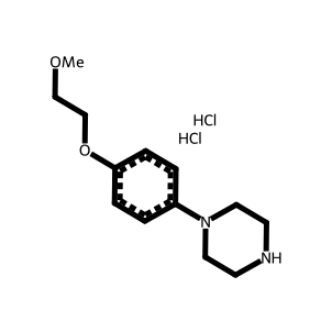 COCCOc1ccc(N2CCNCC2)cc1.Cl.Cl